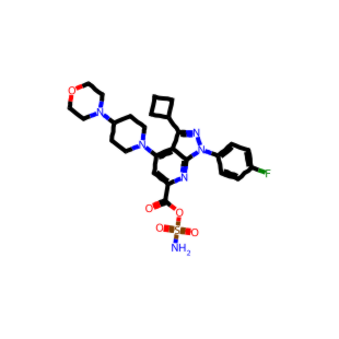 NS(=O)(=O)OC(=O)c1cc(N2CCC(N3CCOCC3)CC2)c2c(C3CCC3)nn(-c3ccc(F)cc3)c2n1